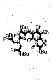 CCCCC(CC)CN(CC(CC)CCCC)c1nc(C(C)(C)C)c(/C=C2\C(=O)N(N(C)C(=O)C(C)(C)C)C(=O)C(C#N)=C2CC)s1